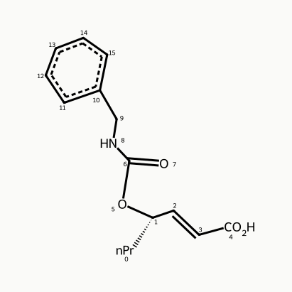 CCC[C@@H](/C=C/C(=O)O)OC(=O)NCc1ccccc1